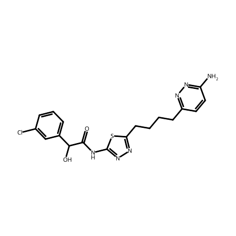 Nc1ccc(CCCCc2nnc(NC(=O)C(O)c3cccc(Cl)c3)s2)nn1